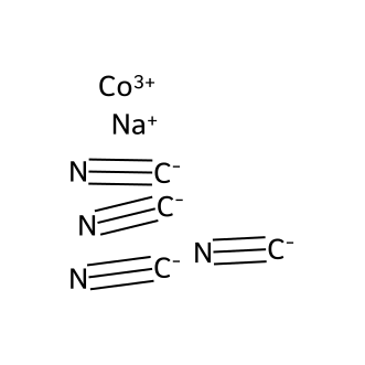 [C-]#N.[C-]#N.[C-]#N.[C-]#N.[Co+3].[Na+]